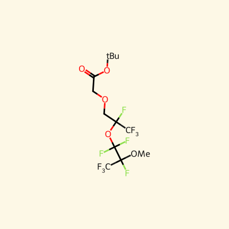 COC(F)(C(F)(F)F)C(F)(F)OC(F)(COCC(=O)OC(C)(C)C)C(F)(F)F